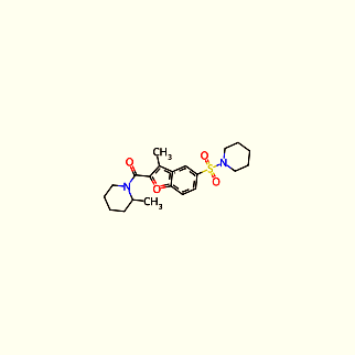 Cc1c(C(=O)N2CCCCC2C)oc2ccc(S(=O)(=O)N3CCCCC3)cc12